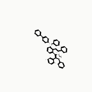 c1ccc(-c2ccc(N(c3ccccc3)c3cccc4c3cc(-c3ccccc3)n3nc(-c5ccccc5)c(-c5ccccc5)c43)cc2)cc1